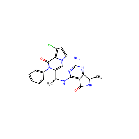 C[C@H](Nc1nc(N)nc2c1C(=O)N[C@@H]2C)c1cn2ccc(Cl)c2c(=O)n1-c1ccccc1